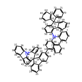 c1ccc(-c2ccccc2N(c2ccc(-c3ccc4c(c3)C3(c5ccccc5-4)c4ccccc4-n4c5ccccc5c5cccc3c54)cc2)c2cccc3c2-c2ccccc2C3(c2ccccc2)c2ccccc2)cc1